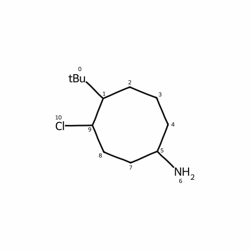 CC(C)(C)C1CCCC(N)CCC1Cl